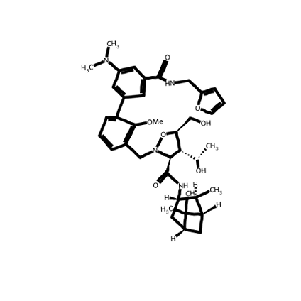 COc1c(CN2O[C@@H](CO)[C@H]([C@H](C)O)[C@H]2C(=O)N[C@H]2C[C@H]3C[C@@H]([C@@H]2C)C3(C)C)cccc1-c1cc(C(=O)NCc2ccco2)cc(N(C)C)c1